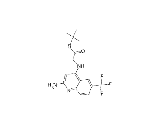 CC(C)(C)OC(=O)CNc1cc(N)nc2ccc(C(F)(F)F)cc12